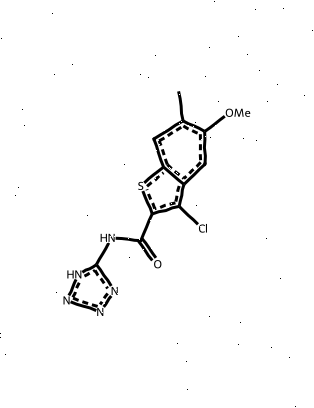 COc1cc2c(Cl)c(C(=O)Nc3nnn[nH]3)sc2cc1C